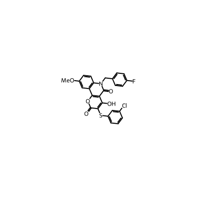 COc1ccc2c(c1)c1oc(=O)c(Sc3cccc(Cl)c3)c(O)c1c(=O)n2Cc1ccc(F)cc1